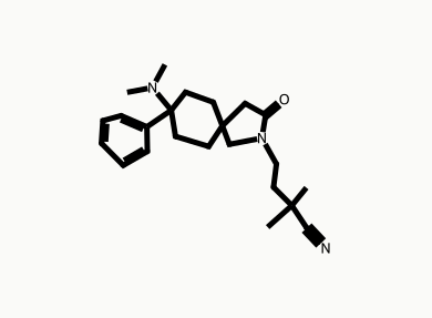 CN(C)C1(c2ccccc2)CCC2(CC1)CC(=O)N(CCC(C)(C)C#N)C2